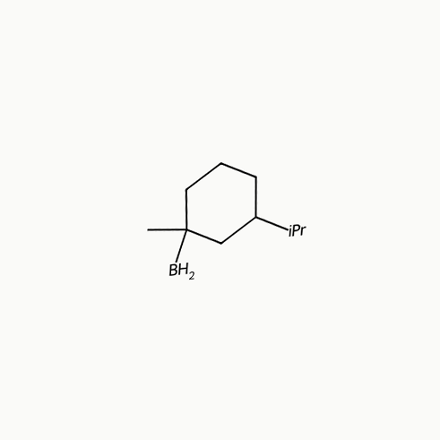 BC1(C)CCCC(C(C)C)C1